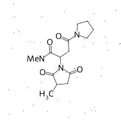 CNC(=O)C(CC(=O)N1CCCC1)N1C(=O)CC(C)C1=O